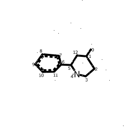 CC1CC[N]C(c2ccccc2)C1